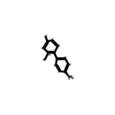 Cc1ccc(-c2ccc(N)cc2)c(C)c1